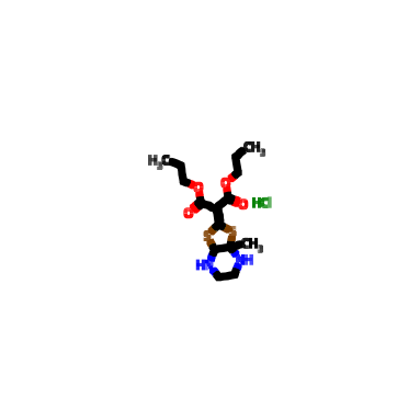 CCCOC(=O)C(C(=O)OCCC)=C1SC2NCCNC2(C)S1.Cl